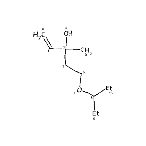 C=CC(C)(O)CCOC(CC)CC